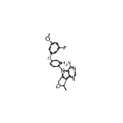 COc1cc(F)cc(Oc2ccc(-n3c4c(c5ncnc(N)c53)C(C)OC4)cc2)c1